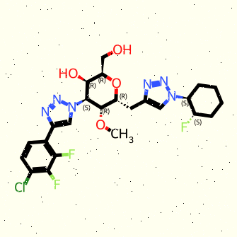 CO[C@@H]1[C@@H](n2cc(-c3ccc(Cl)c(F)c3F)nn2)[C@@H](O)[C@@H](CO)O[C@@H]1Cc1cn([C@H]2CCCC[C@@H]2F)nn1